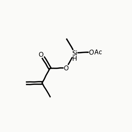 C=C(C)C(=O)O[SiH](C)OC(C)=O